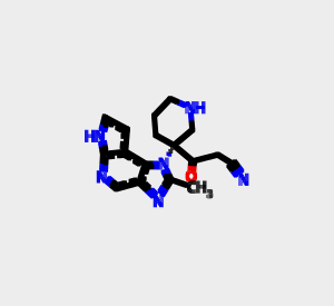 Cc1nc2cnc3[nH]ccc3c2n1[C@]1(C(=O)CC#N)CCCNC1